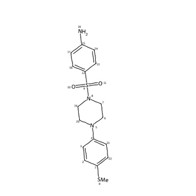 CSc1ccc(N2CCN(S(=O)(=O)c3ccc(N)cc3)CC2)cc1